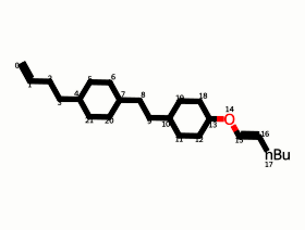 C=CCCC1CCC(CCC2CCC(OC=CCCCC)CC2)CC1